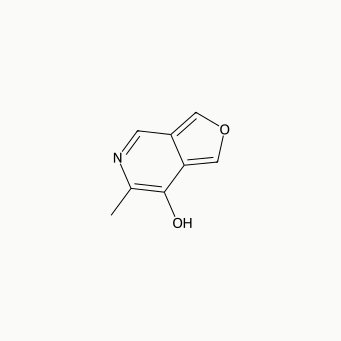 Cc1ncc2cocc2c1O